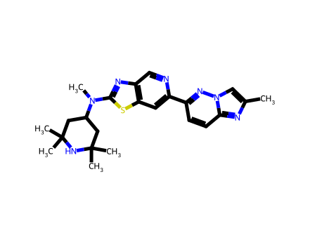 Cc1cn2nc(-c3cc4sc(N(C)C5CC(C)(C)NC(C)(C)C5)nc4cn3)ccc2n1